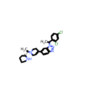 C=C([C@H]1CCCCN1)N1CC=C(c2ccc3nnn(C(C)c4ccc(Cl)cc4Cl)c3c2)CC1